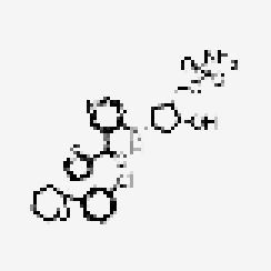 NS(=O)(=O)OC[C@H]1C[C@@H](Nc2ncncc2C(=O)c2cc([C@@]3(c4cccc(Cl)c4)CCCCO3)cs2)C[C@@H]1O